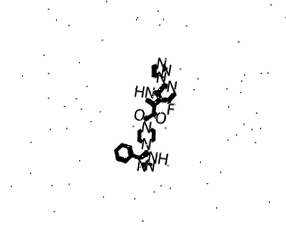 O=C(C(=O)N1CCN(c2[nH]nnc2C2=CCCC=C2)CC1)c1c[nH]c2c(-n3ccnn3)ncc(F)c12